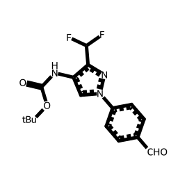 CC(C)(C)OC(=O)Nc1cn(-c2ccc(C=O)cc2)nc1C(F)F